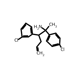 C=CCC(c1cccc(Cl)c1)C(C)(N)c1ccc(Cl)cc1